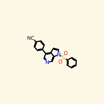 N#Cc1ccc(-c2cncc3c2ccn3S(=O)(=O)c2ccccc2)cc1